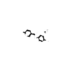 O=C(Nc1ccc(Br)c(OC(F)(F)F)c1)c1ccc(F)nc1